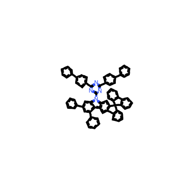 c1ccc(-c2ccc(-c3nc(-c4ccc(-c5ccccc5)cc4)nc(-n4c5cc6c(cc5c5c(-c7ccccc7)cc(-c7ccccc7)cc54)-c4ccccc4C64c5ccccc5-c5ccccc54)n3)cc2)cc1